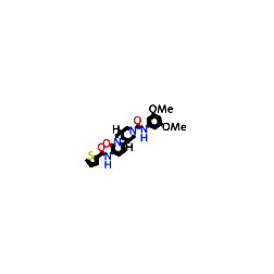 COc1cc(NC(=O)N2C[C@@H]3C[C@H](C2)c2ccc(NC(=O)c4cccs4)c(=O)n2C3)cc(OC)c1